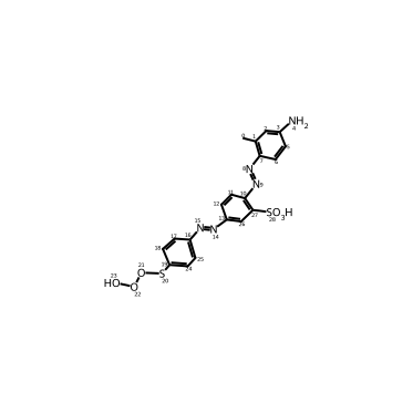 Cc1cc(N)ccc1N=Nc1ccc(N=Nc2ccc(SOOO)cc2)cc1S(=O)(=O)O